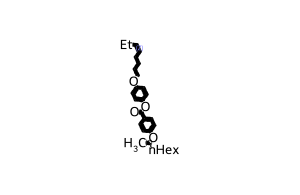 CC/C=C\CCCCOc1ccc(OC(=O)c2ccc(O[C@@H](C)CCCCCC)cc2)cc1